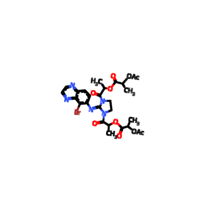 CC(=O)OC(C)C(=O)OC(C)C(=O)N1CCN(C(=O)C(C)OC(=O)C(C)OC(C)=O)C1=Nc1ccc2nccnc2c1Br